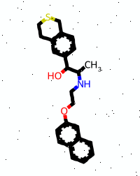 CC(NCCOc1ccc2ccccc2c1)C(O)c1ccc2c(c1)CCSC2